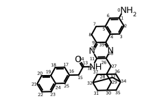 Nc1ccc2c(c1)CCc1nc(NC(=O)Cc3ccc4ccccc4c3)c(CC34CC5CC(CC(C5)C3)C4)nc1-2